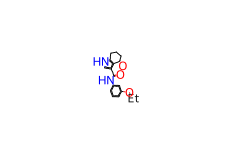 CCOc1cccc(NC(=O)c2c[nH]c3c2C(=O)CCC3)c1